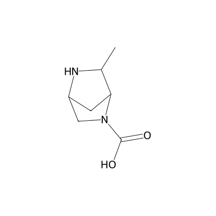 CC1NC2CC1N(C(=O)O)C2